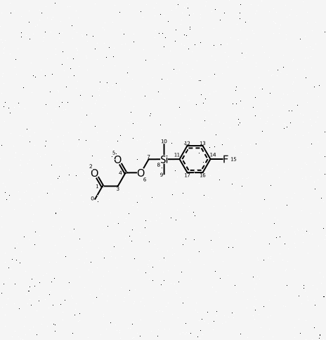 CC(=O)CC(=O)OC[Si](C)(C)c1ccc(F)cc1